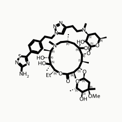 CC[C@H]1OC(=O)[C@H](C)[C@@H](O[C@H]2C[C@@](C)(OC)[C@@H](O)[C@H](C)O2)[C@H](C)[C@@H](O[C@@H]2O[C@H](C)C[C@H](N(C)CCc3cn(CCc4ccc(-c5nc(N)ns5)cc4)nn3)[C@H]2O)[C@](C)(O)C[C@@H](C)CN(C)[C@H](C)[C@@H](O)[C@]1(C)O